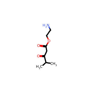 CC(C)C(=O)CC(=O)OCCN